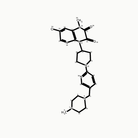 CN1CCN(Cc2ccc(N3CCC(n4c(=O)c(=O)n(C)c5cc(Cl)cnc54)CC3)nc2)CC1